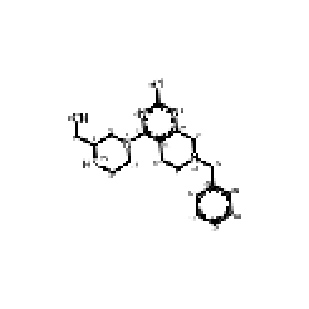 N#CCC1CN(c2nc(Cl)nc3c2CCN(Cc2ccccc2)C3)CCN1